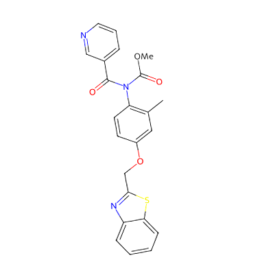 COC(=O)N(C(=O)c1cccnc1)c1ccc(OCc2nc3ccccc3s2)cc1C